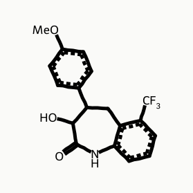 COc1ccc(C2Cc3c(cccc3C(F)(F)F)NC(=O)C2O)cc1